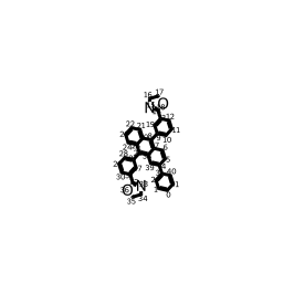 c1ccc(-c2ccc3c(-c4cccc(C5=NCCO5)c4)c4ccccc4c(-c4cccc(C5=NCCO5)c4)c3c2)cc1